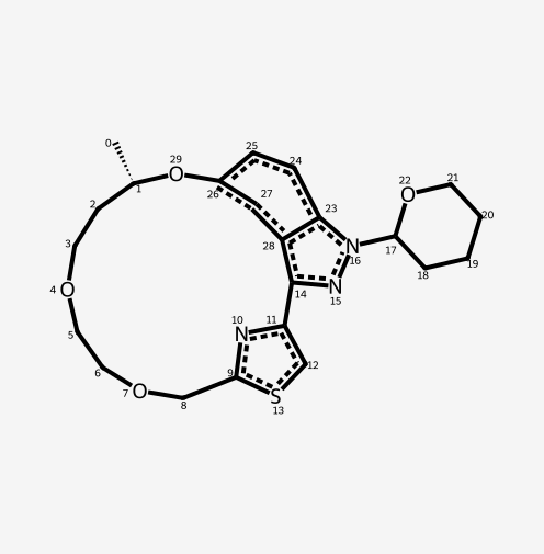 C[C@H]1CCOCCOCc2nc(cs2)-c2nn(C3CCCCO3)c3ccc(cc23)O1